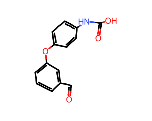 O=Cc1cccc(Oc2ccc(NC(=O)O)cc2)c1